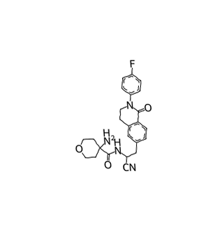 N#CC(Cc1ccc2c(c1)CCN(c1ccc(F)cc1)C2=O)NC(=O)C1(N)CCOCC1